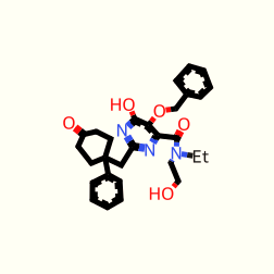 CCN(CCO)C(=O)c1nc(CC2(c3ccccc3)CCC(=O)CC2)nc(O)c1OCc1ccccc1